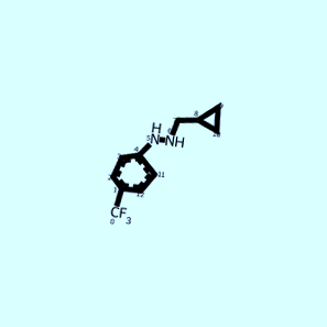 FC(F)(F)c1ccc(NNCC2CC2)cc1